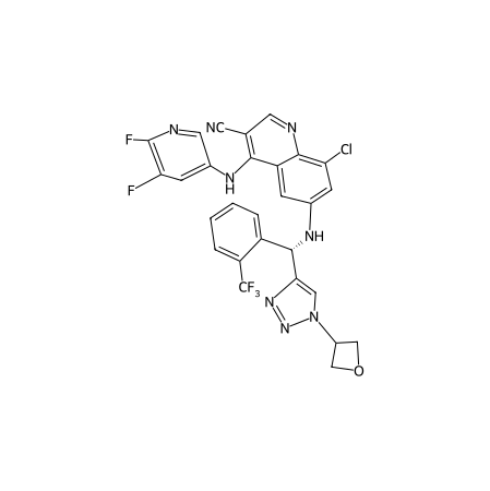 N#Cc1cnc2c(Cl)cc(N[C@H](c3cn(C4COC4)nn3)c3ccccc3C(F)(F)F)cc2c1Nc1cnc(F)c(F)c1